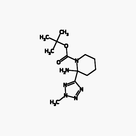 Cn1nnc(C2(N)CCCCN2C(=O)OC(C)(C)C)n1